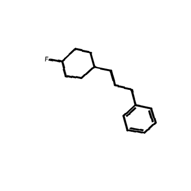 FC1CCC(CCCc2ccccc2)CC1